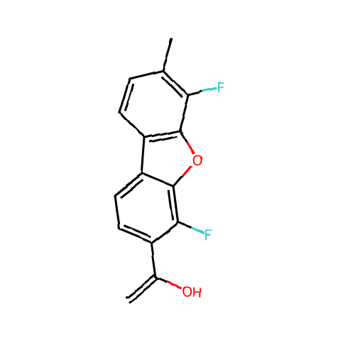 C=C(O)c1ccc2c(oc3c(F)c(C)ccc32)c1F